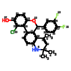 CC1=CC(C)(C)Nc2ccc3c(c21)C(c1ccc(F)c(F)c1)Oc1ccc(O)c(Cl)c1-3